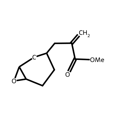 C=C(CC1CCC2OC2C1)C(=O)OC